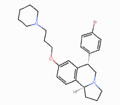 Brc1ccc([C@@H]2CN3CCC[C@H]3c3ccc(OCCCN4CCCCC4)cc32)cc1